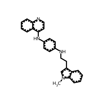 Cn1cc(CCNc2ccc(Nc3ccnc4ccccc34)cc2)c2ccccc21